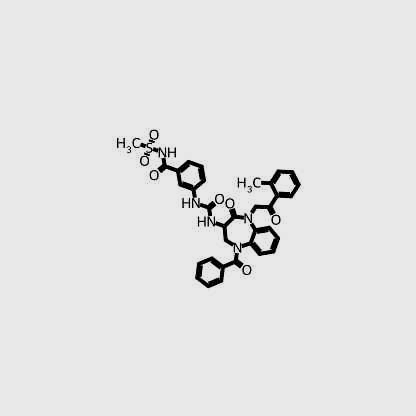 Cc1ccccc1C(=O)CN1C(=O)C(NC(=O)Nc2cccc(C(=O)NS(C)(=O)=O)c2)CN(C(=O)c2ccccc2)c2ccccc21